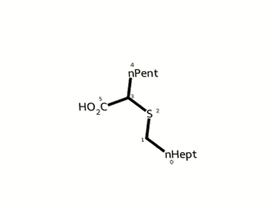 CCCCCCCCSC(CCCCC)C(=O)O